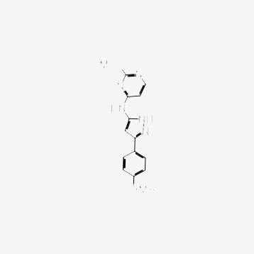 COc1ccc(-c2cc(Nc3ccnc(SC)n3)[nH]n2)cc1